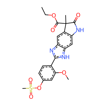 CCOC(=O)C1(C)C(=O)Nc2cc3[nH]c(-c4ccc(OS(C)(=O)=O)cc4OC)nc3cc21